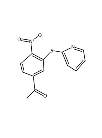 CC(=O)c1ccc([N+](=O)[O-])c(Sc2ccccn2)c1